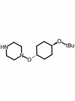 CC(C)(C)O[C@H]1CC[C@H](ON2CCNCC2)CC1